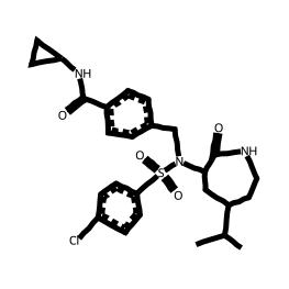 CC(C)C1CCNC(=O)C(N(Cc2ccc(C(=O)NC3CC3)cc2)S(=O)(=O)c2ccc(Cl)cc2)C1